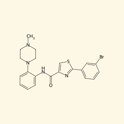 CN1CCN(c2ccccc2NC(=O)c2csc(-c3cccc(Br)c3)n2)CC1